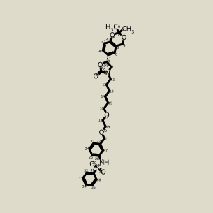 CC1(C)OCc2cc([C@@H]3CN(CCCCCCOCCOCc4cccc(NS(=O)(=O)c5ccccc5)c4)C(=O)O3)ccc2O1